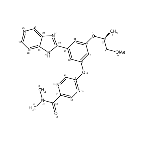 COC[C@H](C)Oc1cc(Oc2cnc(C(=O)N(C)C)cn2)cc(-c2nc3cncnc3[nH]2)c1